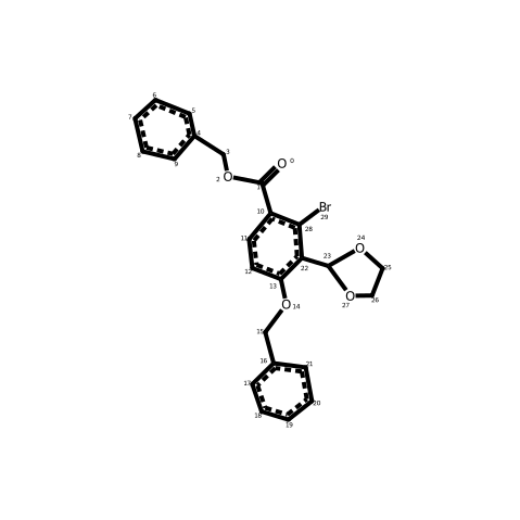 O=C(OCc1ccccc1)c1ccc(OCc2ccccc2)c(C2OCCO2)c1Br